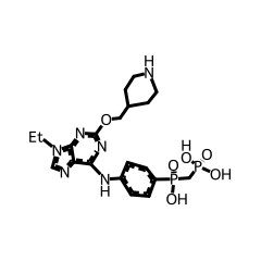 CCn1cnc2c(Nc3ccc(P(=O)(O)CP(=O)(O)O)cc3)nc(OCC3CCNCC3)nc21